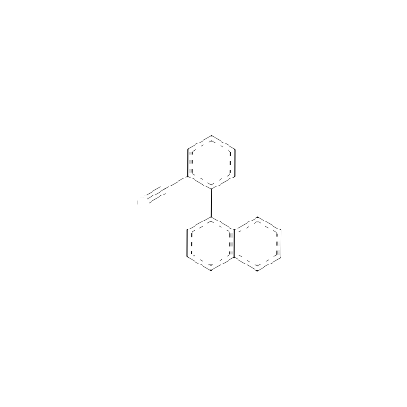 C#Cc1ccccc1-c1cccc2ccccc12